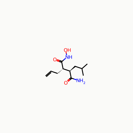 C=CC[C@H](C(=O)NO)[C@@H](CC(C)C)C(N)=O